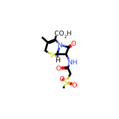 CC1=C(C(=O)O)N2C(=O)C(NC(=O)CS(C)(=O)=O)[C@H]2SC1